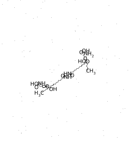 CCCCCC(Oc1ccc(CC(N)C(=O)O)cc1)C(O)CC=CCCCCCCCC(=O)NCCNC(=O)CCCCCCCC=CCC(O)C(CCCCC)Oc1ccc(CC(N)C(=O)O)cc1